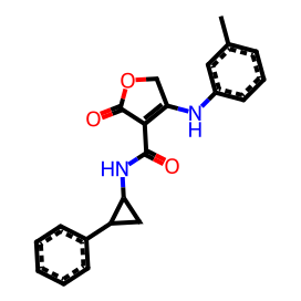 Cc1cccc(NC2=C(C(=O)NC3CC3c3ccccc3)C(=O)OC2)c1